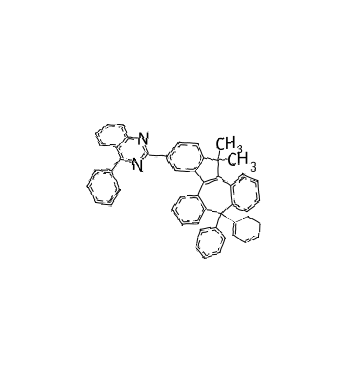 CC1(C)C2=C(c3cc(-c4nc(-c5ccccc5)c5ccccc5n4)ccc31)c1ccccc1C(C1=CC=CCC1)(c1ccccc1)c1ccccc12